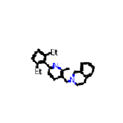 CCc1cccc(CC)c1-c1ccc(CN2CCc3ccccc3C2)c(C)n1